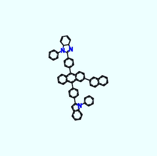 C1=CC2N=C(c3ccc(-c4c5ccccc5c(-c5ccc(-c6cc7ccccc7n6-c6ccccc6)cc5)c5cc(-c6ccc7ccccc7c6)ccc45)cc3)N(c3ccccc3)C2C=C1